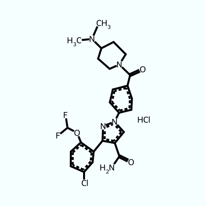 CN(C)C1CCN(C(=O)c2ccc(-n3cc(C(N)=O)c(-c4cc(Cl)ccc4OC(F)F)n3)cc2)CC1.Cl